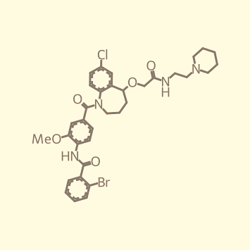 COc1cc(C(=O)N2CCCC(OCC(=O)NCCN3CCCCC3)c3cc(Cl)ccc32)ccc1NC(=O)c1ccccc1Br